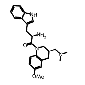 COc1ccc2c(c1)C[C@H](CN(C)C)CN2C(=O)[C@H](N)Cc1c[nH]c2ccccc12